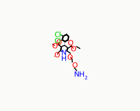 CCOC(=O)C1=C(COCCOCCN)NC(COC)=C(C(=O)OC)[C@@H]1c1cccc(Cl)c1Cl